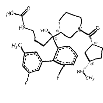 CN[C@H]1CC[C@@H](C(=O)N2CCC[C@@H]([C@@](O)(CCCNC(=O)O)c3cccc(F)c3-c3cc(C)cc(F)c3)C2)C1